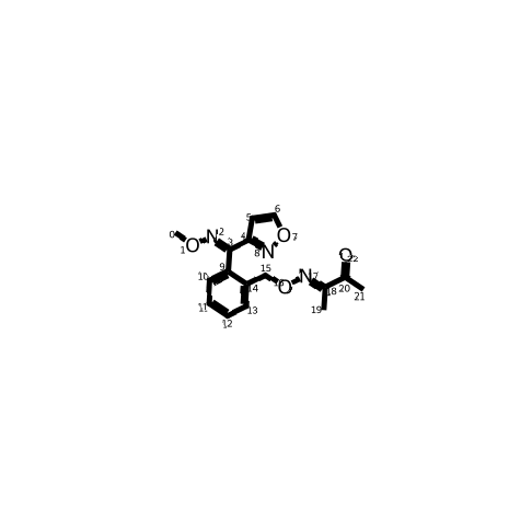 CO/N=C(/c1ccon1)c1ccccc1CO/N=C(\C)C(C)=O